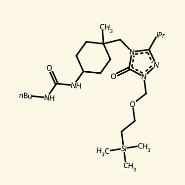 CCCCNC(=O)NC1CCC(C)(Cn2c(C(C)C)nn(COCC[Si](C)(C)C)c2=O)CC1